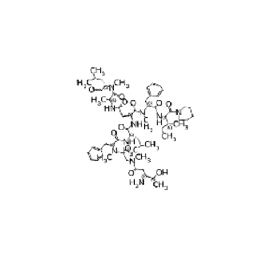 CC[C@H](C)[C@H](NC(=O)[C@H](Cc1ccccc1)N(C)C(=O)[C@H](CC(=O)N[C@@H](C)C(=O)N(C)[C@H](C=O)CC(C)C)NC(=O)[C@H](CC(C)C)NC(=O)[C@H](Cc1ccccc1)N(C)C(=O)CN(C)C(=O)C[C@@H](N)[C@@H](C)O)C(=O)N1CCCCC1